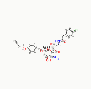 C#CCCOc1ccc(CO[C@]2(C(=O)O)C[C@H](O)[C@@H](N)[C@H]([C@H](O)[C@H](O)CNC(=O)Cc3ccc(Cl)cc3)O2)cc1